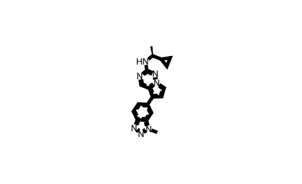 C[C@H](Nc1ncc2c(-c3ccc4nnn(C)c4c3)ccn2n1)C1CC1